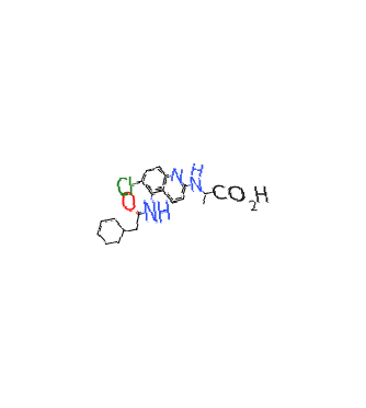 CC(Nc1ccc2c(NC(=O)CC3CCCCC3)c(Cl)ccc2n1)C(=O)O